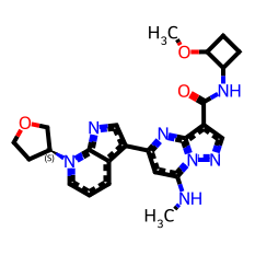 CNc1cc(-c2cnc3n([C@H]4CCOC4)cccc2-3)nc2c(C(=O)NC3CCC3OC)cnn12